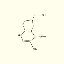 [CH2]OC1C(CCCC)=CNC2=C1CC(CO)CC2